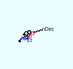 C=C(CC)C1Oc2c(OCCCCCCCCCCCCCCCC)ccc3c2C1(CCNCC1CC1)C1(C)CC1C3